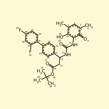 Cc1cn(C)c(=O)c(NC(=O)NC(CC(=O)OC(C)(C)C)c2ccc(-c3ccc(F)cc3F)cc2)c1O